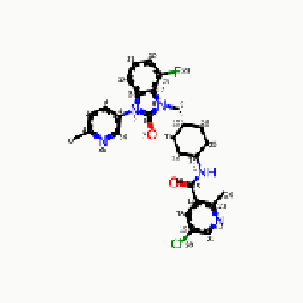 Cc1ccc(-n2c(=O)n(C[C@H]3CC[C@H](NC(=O)c4cc(Cl)cnc4C)CC3)c3c(F)cccc32)cn1